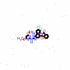 COc1cc(OC)nc(Nc2nc3cc(C4(O)c5ccccc5C(=O)N4c4cccc(Cl)c4F)ccc3[nH]2)n1